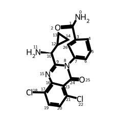 NC(=O)c1cccc(-n2c([C@@H](N)C3CC3)nc3c(Cl)ccc(Cl)c3c2=O)c1